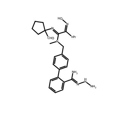 CCCC(=N/O)/C(=N/C1(C=O)CCCC1)N(C)Cc1ccc(-c2ccccc2/C(N)=N/NN)cc1